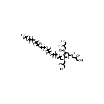 CCN(CC(O)CO)c1nc(N(CC)CC(O)CO)nc(N(CC(O)CO)CC(F)(F)OC(F)(F)C(F)(F)OC(F)(F)C(F)(F)OC(F)(F)C(F)(F)OC(F)(F)C(F)(F)OC(F)(F)C(F)(F)OC(F)(F)C(F)(F)F)n1